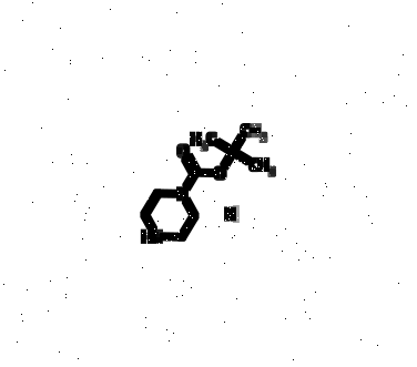 CC(C)(C)OC(=O)N1CCNCC1.[N]